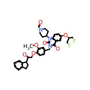 COc1cc(Cn2c(=O)c3cc(OC(CF)CF)ccc3n(C3CCN(C=O)CC3)c2=O)ccc1OCC(=O)C1CCc2ccccc21